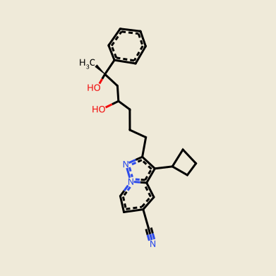 C[C@](O)(CC(O)CCCc1nn2ccc(C#N)cc2c1C1CCC1)c1ccccc1